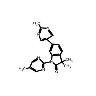 Cc1cnc(N2C(=O)C(C)(C)c3ccc(-c4cnc(C)nc4)cc32)nc1